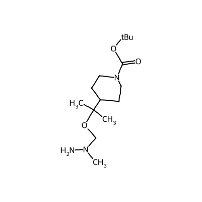 CN(N)COC(C)(C)C1CCN(C(=O)OC(C)(C)C)CC1